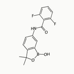 CC1(C)OB(O)c2cc(NC(=O)c3c(F)cccc3F)ccc21